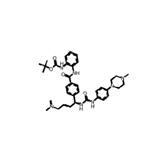 CN(C)CCCC(NC(=O)Nc1ccc(N2CCN(C)CC2)cc1)c1ccc(C(=O)Nc2ccccc2NC(=O)OC(C)(C)C)cc1